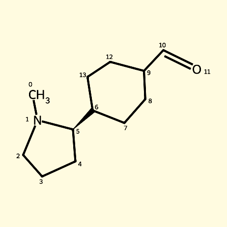 CN1CCC[C@@H]1C1CCC(C=O)CC1